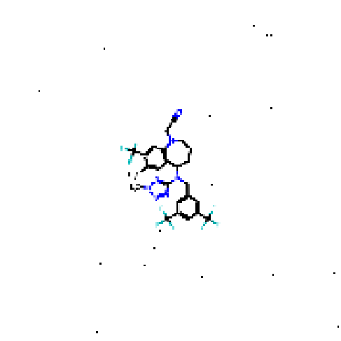 Cc1cc2c(cc1C(F)(F)F)N(CC#N)CCCC2N(Cc1cc(C(F)(F)F)cc(C(F)(F)F)c1)c1nnn(C)n1